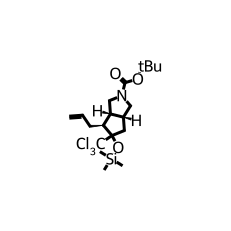 C=CC[C@H]1[C@@H]2CN(C(=O)OC(C)(C)C)C[C@@H]2CC1(O[Si](C)(C)C)C(Cl)(Cl)Cl